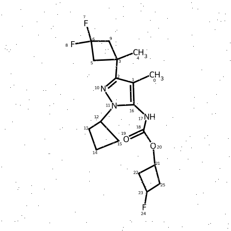 Cc1c(C2(C)CC(F)(F)C2)nn(C2CCC2)c1NC(=O)OC1CC(F)C1